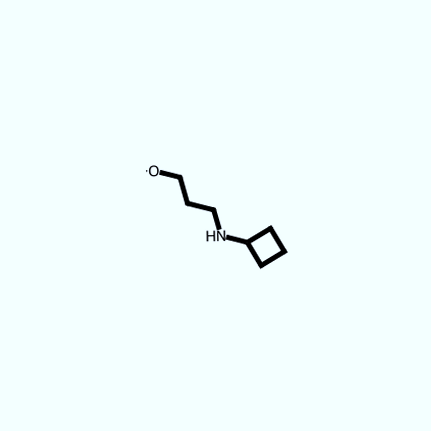 [O]CCCNC1CCC1